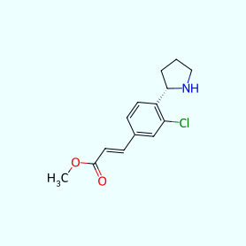 COC(=O)C=Cc1ccc([C@@H]2CCCN2)c(Cl)c1